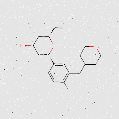 OC[C@H]1O[C@@H](c2ccc(Cl)c(CC3CCOCC3)c2)[C@H](O)[C@@H](O)[C@@H]1O